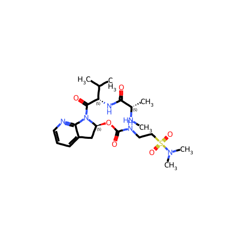 CN[C@@H](C)C(=O)N[C@H](C(=O)N1c2ncccc2C[C@@H]1OC(=O)NCCS(=O)(=O)N(C)C)C(C)C